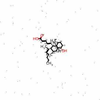 CCCC/C=C(/C)[C@H]1[C@@H](/C=C/C=C/C(=O)O)[C@H]2[C@@H](C[C@H]1C)[C@@H](O)CC[C@@H]2C